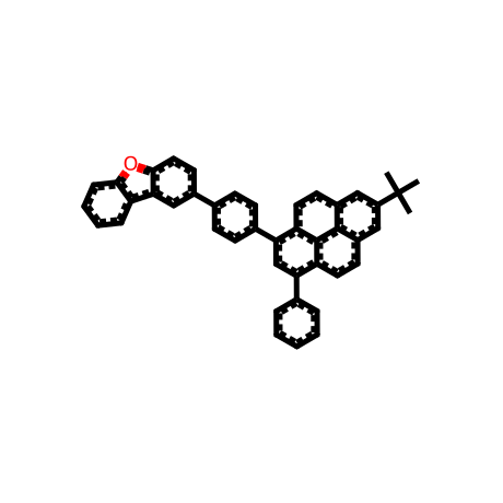 CC(C)(C)c1cc2ccc3c(-c4ccccc4)cc(-c4ccc(-c5ccc6oc7ccccc7c6c5)cc4)c4ccc(c1)c2c34